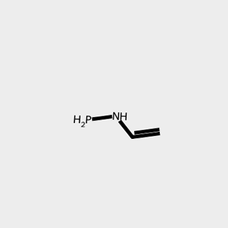 C=CNP